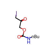 CCCCNC(=O)OCC(=O)CI